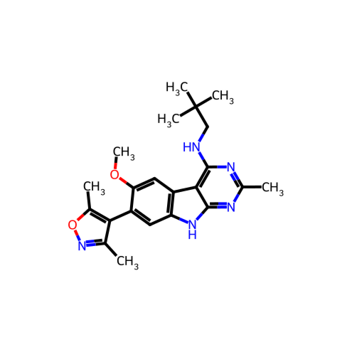 COc1cc2c(cc1-c1c(C)noc1C)[nH]c1nc(C)nc(NCC(C)(C)C)c12